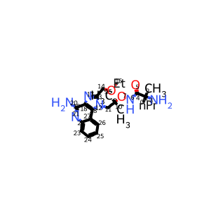 CCCC(C)(N)C(=O)NOC(C)(C)Cn1c(COCC)nc2c(N)nc3ccccc3c21